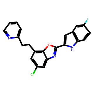 Fc1ccc2[nH]c(-c3nc4cc(Cl)cc(CCc5ccccn5)c4o3)cc2c1